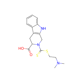 CN(C)CCSC(=S)N1Cc2[nH]c3ccccc3c2CC1C(=O)O